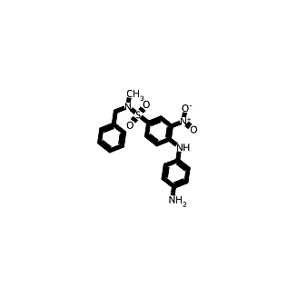 CN(Cc1ccccc1)S(=O)(=O)c1ccc(Nc2ccc(N)cc2)c([N+](=O)[O-])c1